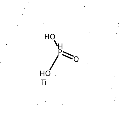 O=[PH](O)O.[Ti]